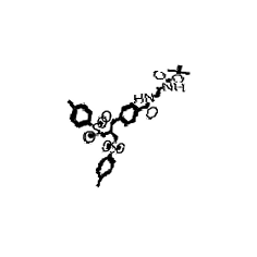 Cc1ccc(S(=O)(=O)CC(CS(=O)(=O)c2ccc(C)cc2)C(=O)c2ccc(C(=O)NCCNC(=O)OC(C)(C)C)cc2)cc1